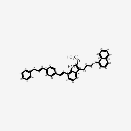 O=C(O)Oc1[nH]c2c(/C=C/c3ccc(/C=C/Cc4ccccc4)cc3)cccc2c1CCCOc1cccc2ccccc12